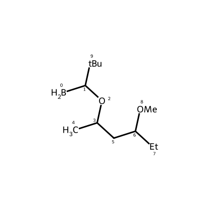 BC(OC(C)CC(CC)OC)C(C)(C)C